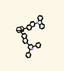 c1ccc(-c2cc(-c3ccc4cc(C56CC7CC(C5)CC(c5ccc8cc(-n9c%10ccccc%10c%10ccccc%109)ccc8c5)(C7)C6)ccc4c3)cc(-c3ccccc3)n2)cc1